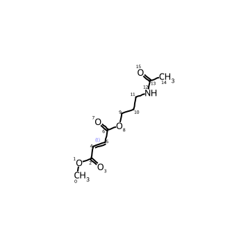 COC(=O)/C=C/C(=O)OCCCNC(C)=O